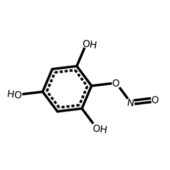 O=NOc1c(O)cc(O)cc1O